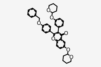 O=c1c(-c2cccc(OC3CCCCO3)c2)c(-c2ccc(OCc3ccccc3)cc2)oc2ccc(OC3CCCCO3)cc12